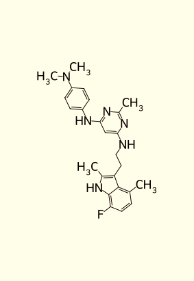 Cc1nc(NCCc2c(C)[nH]c3c(F)ccc(C)c23)cc(Nc2ccc(N(C)C)cc2)n1